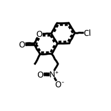 Cc1c(C[N+](=O)[O-])c2cc(Cl)ccc2oc1=O